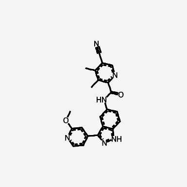 COc1cc(-c2n[nH]c3ccc(NC(=O)c4ncc(C#N)c(C)c4C)cc23)ccn1